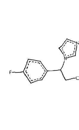 OCC(c1ccc(F)cc1)n1ccnc1